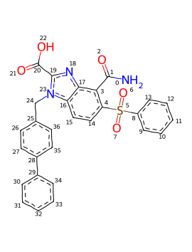 NC(=O)c1c(S(=O)(=O)c2ccccc2)ccc2c1nc(C(=O)O)n2Cc1ccc(-c2ccccc2)cc1